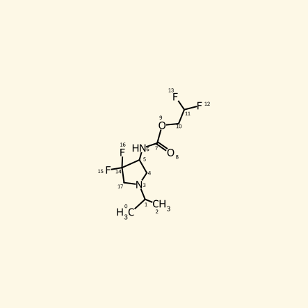 CC(C)N1CC(NC(=O)OCC(F)F)C(F)(F)C1